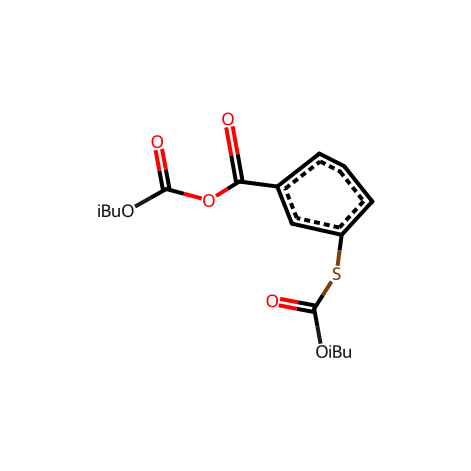 CC(C)COC(=O)OC(=O)c1cccc(SC(=O)OCC(C)C)c1